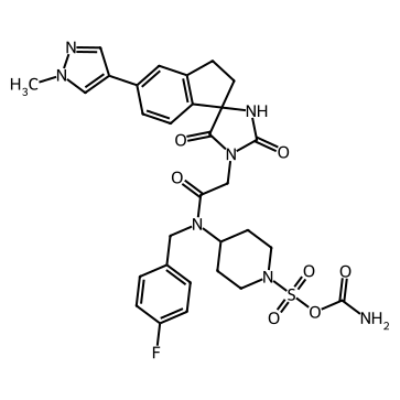 Cn1cc(-c2ccc3c(c2)CCC32NC(=O)N(CC(=O)N(Cc3ccc(F)cc3)C3CCN(S(=O)(=O)OC(N)=O)CC3)C2=O)cn1